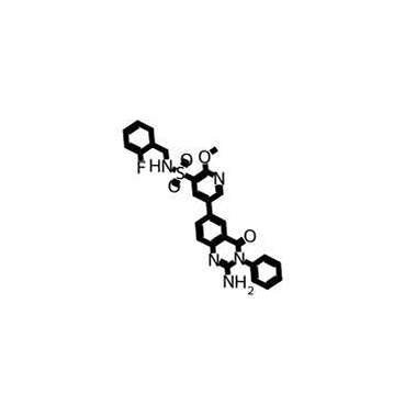 COc1ncc(-c2ccc3nc(N)n(-c4ccccc4)c(=O)c3c2)cc1S(=O)(=O)NCC1CC=CC=C1F